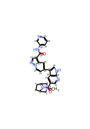 CN1CC2CCC(C1)N2C(=O)c1cnc2[nH]cc(-c3ccn4ncc(C(=O)Nc5cccnc5)c4c3)c2c1